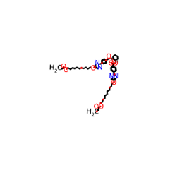 C=CC(=O)OCCCCCCCCCCCOc1cnc(-c2ccc(C(=O)O[C@@H]3CCCC[C@H]3OC(=O)c3ccc(-c4ncc(OCCCCCCCCCCCOC(=O)C=C)cn4)cc3)cc2)nc1